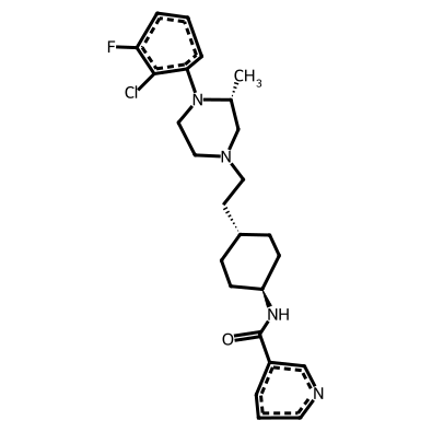 C[C@@H]1CN(CC[C@H]2CC[C@H](NC(=O)c3cccnc3)CC2)CCN1c1cccc(F)c1Cl